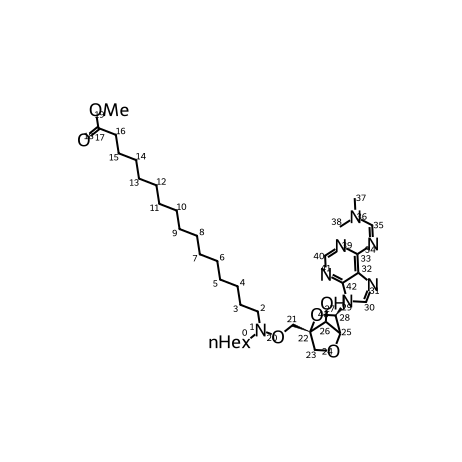 CCCCCCN(CCCCCCCCCCCCCCCC(=O)OC)OC[C@]12COC(C1O)[C@H](n1cnc3c(/N=C\N(C)C)ncnc31)O2